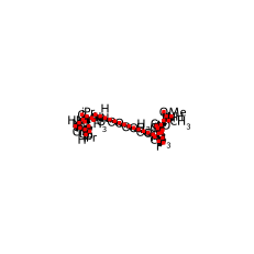 COC[C@H]1CN[C@H](C)CN1CC(=O)N1CC(C)(C)c2nc(CN(C)CCOCCOCCOCCOCCOCCOCCNC(=O)CN3CCC(c4cc(OC(C)C)c(Nc5ncc(Cl)c(Nc6ccccc6S(=O)(=O)C(C)C)n5)cc4C)CC3)c(Cc3ccc(F)cc3)cc21